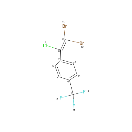 FC(F)(F)c1ccc(C(Cl)=C(Br)Br)cc1